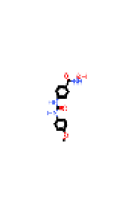 COc1ccc(NC(=O)Nc2ccc(C(=O)NO)cc2)cc1